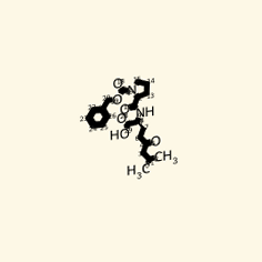 CC(C)CC(=O)CC[C@H](NC(=O)C1CCCN1C(=O)OCc1ccccc1)C(=O)O